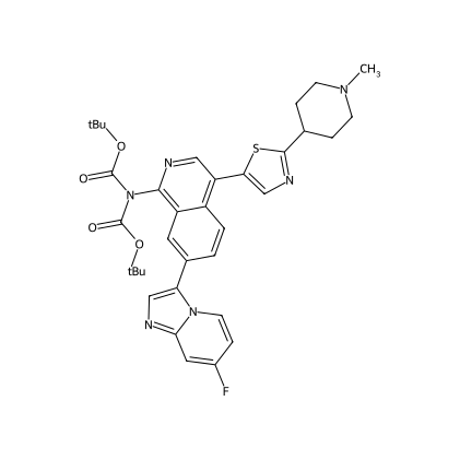 CN1CCC(c2ncc(-c3cnc(N(C(=O)OC(C)(C)C)C(=O)OC(C)(C)C)c4cc(-c5cnc6cc(F)ccn56)ccc34)s2)CC1